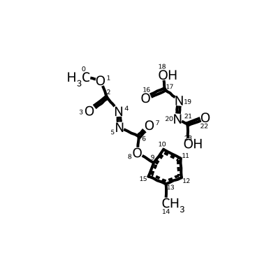 COC(=O)N=NC(=O)Oc1cccc(C)c1.O=C(O)N=NC(=O)O